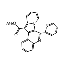 COC(=O)c1c2c3ccccc3nc(-c3ccccn3)c2n2ccccc12